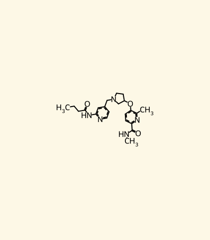 CCCC(=O)Nc1cc(CN2CCC(Oc3ccc(C(=O)NC)nc3C)C2)ccn1